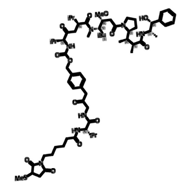 CC[C@H](C)[C@@H]([C@@H](CC(=O)N1CCC[C@H]1[C@H](C)[C@H](C)C(=O)N[C@@H](C)[C@H](O)c1ccccc1)OC)N(C)C(=O)[C@@H](CC(=O)[C@@H](NC(=O)OCc1ccc(CC(=O)CNC(=O)[C@@H](NC(=O)CCCCCN2C(=O)CC(SC)C2=O)C(C)C)cc1)C(C)C)C(C)C